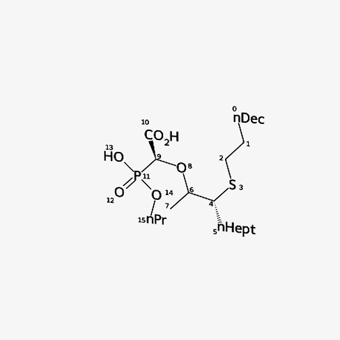 CCCCCCCCCCCCS[C@H](CCCCCCC)C(C)O[C@H](C(=O)O)P(=O)(O)OCCC